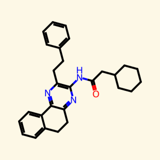 O=C(CC1CCCCC1)Nc1nc2c(nc1CCc1ccccc1)-c1ccccc1CC2